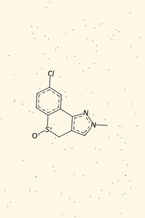 Cn1cc2c(n1)-c1cc(Cl)ccc1[S+]([O-])C2